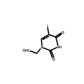 O=CCn1cc(I)c(=O)[nH]c1=O